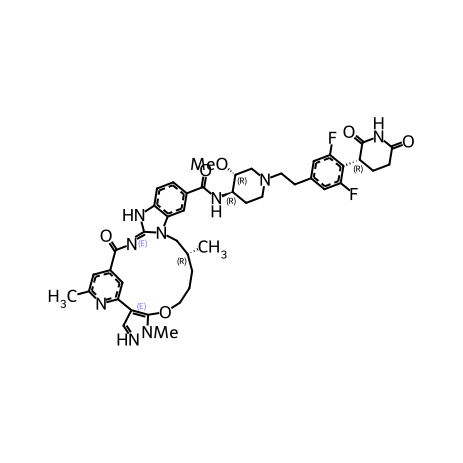 CN/C1=C(\C=N)c2cc(cc(C)n2)C(=O)/N=C2\Nc3ccc(C(=O)N[C@@H]4CCN(CCc5cc(F)c([C@H]6CCC(=O)NC6=O)c(F)c5)C[C@H]4OC)cc3N2C[C@H](C)CCCO1